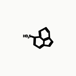 O=S(=O)(O)c1ccc2c3c(cccc13)C=C2